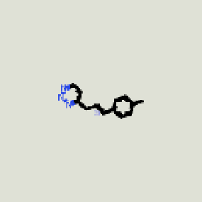 Cc1ccc(/C=C/Cc2ccnnn2)cc1